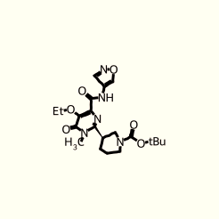 CCOc1c(C(=O)Nc2cnoc2)nc([C@@H]2CCCN(C(=O)OC(C)(C)C)C2)n(C)c1=O